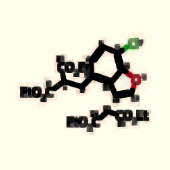 CCOC(=O)C(Cc1ccc(Cl)c2occc12)C(=O)OCC.CCOC(=O)CC(=O)OCC